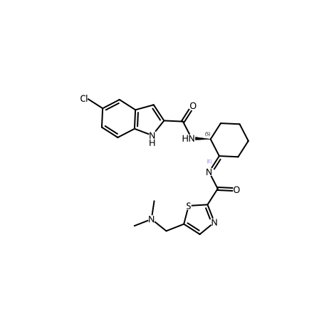 CN(C)Cc1cnc(C(=O)/N=C2\CCCC[C@@H]2NC(=O)c2cc3cc(Cl)ccc3[nH]2)s1